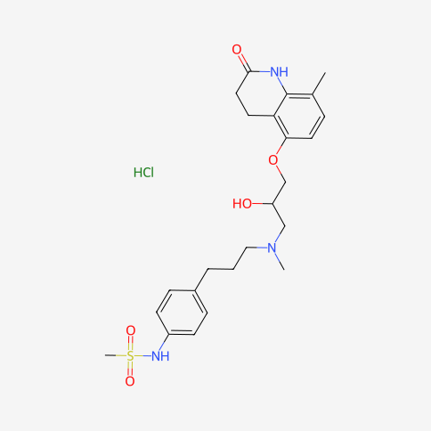 Cc1ccc(OCC(O)CN(C)CCCc2ccc(NS(C)(=O)=O)cc2)c2c1NC(=O)CC2.Cl